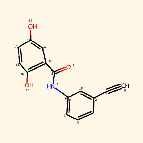 C#Cc1cccc(NC(=O)c2cc(O)ccc2O)c1